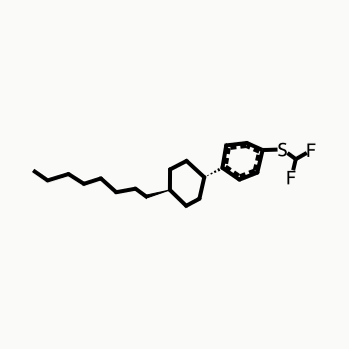 CCCCCCCC[C@H]1CC[C@H](c2ccc(SC(F)F)cc2)CC1